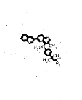 CCC(C)(C)c1ccc(N(C)c2c(C)cnc3ccc(-c4cnc5ccccc5c4)cc23)cc1